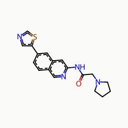 O=C(CN1CCCC1)Nc1cc2cc(-c3cncs3)ccc2cn1